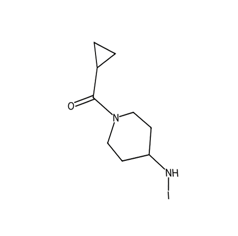 O=C(C1CC1)N1CCC(NI)CC1